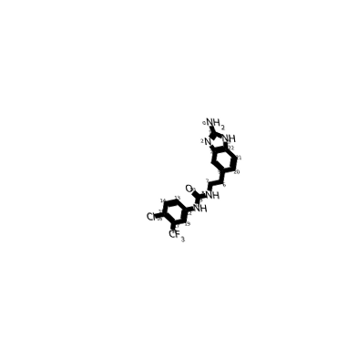 Nc1nc2cc(CCNC(=O)Nc3ccc(Cl)c(C(F)(F)F)c3)ccc2[nH]1